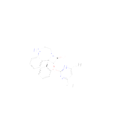 Cc1cc(C)nc(O[C@@H]2C(=O)N3CCNc4ccccc4[C@@]23c2ccccc2)n1